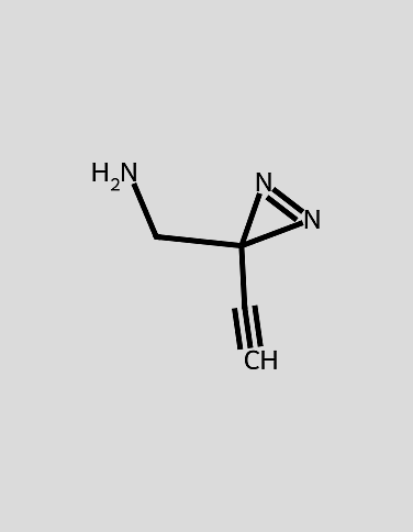 C#CC1(CN)N=N1